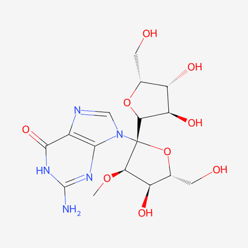 CO[C@@H]1[C@H](O)[C@@H](CO)O[C@@]1(C1O[C@H](CO)[C@H](O)[C@H]1O)n1cnc2c(=O)[nH]c(N)nc21